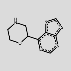 c1nc(C2CNCCO2)c2ncsc2n1